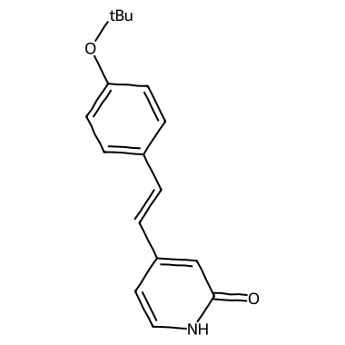 CC(C)(C)Oc1ccc(/C=C/c2cc[nH]c(=O)c2)cc1